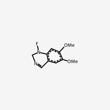 COc1cc2c(cc1OC)N(F)CN=C2